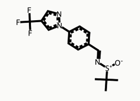 CC(C)(C)[S+]([O-])/N=C/c1ccc(-n2cc(C(F)(F)F)cn2)cc1